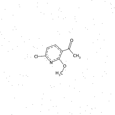 COc1nc(Cl)ccc1C(C)=O